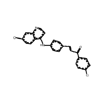 O=C(C=Cc1ccc(Nc2ccnc3cc(Cl)ccc23)cc1)c1ccc(Cl)cc1